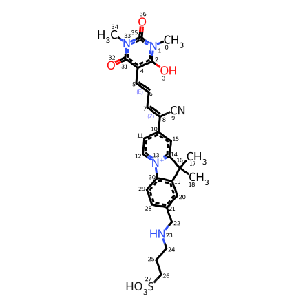 Cn1c(O)c(/C=C/C=C(\C#N)c2cc[n+]3c(c2)C(C)(C)c2cc(CNCCCS(=O)(=O)O)ccc2-3)c(=O)n(C)c1=O